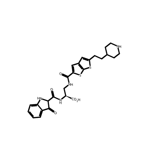 O=C(NC[C@H](NC(=O)C1Nc2ccccc2C1=O)C(=O)O)c1cc2cc(CCC3CCNCC3)sc2s1